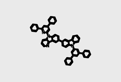 c1ccc(-c2cc(-c3ccccc3)cc(-n3c4ccccc4c4cc(-c5ccc6c(c5)c5ncccc5n6-c5cc(-c6ccccc6)cc(-c6ccccc6)n5)ccc43)c2)cc1